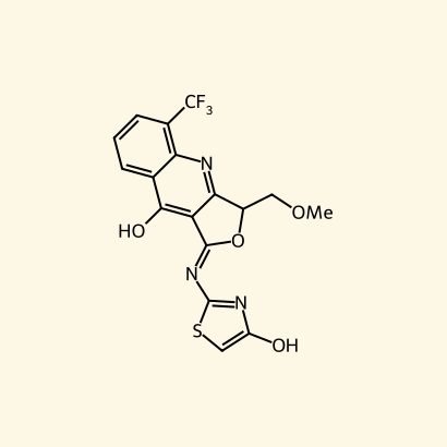 COCC1OC(=Nc2nc(O)cs2)c2c1nc1c(C(F)(F)F)cccc1c2O